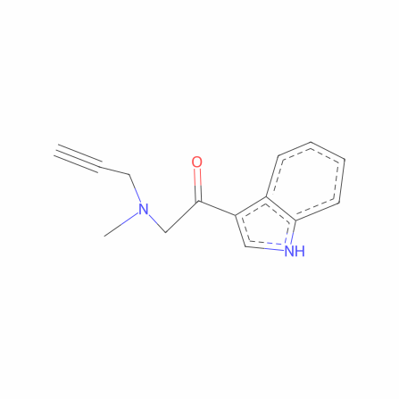 C#CCN(C)CC(=O)c1c[nH]c2ccccc12